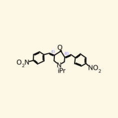 CC(C)N1C/C(=C\c2ccc([N+](=O)[O-])cc2)C(=O)/C(=C/c2ccc([N+](=O)[O-])cc2)C1